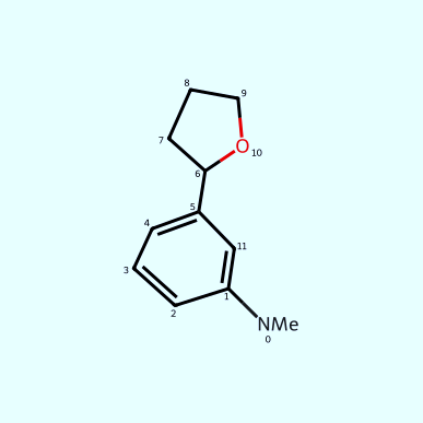 CNc1cccc(C2CCCO2)c1